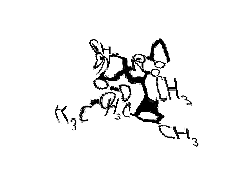 CCOC(=O)OC1=C(c2c(C)cc(C)cc2C)C(=O)N(OC2CCCO2)C12CCN(OC)CC2